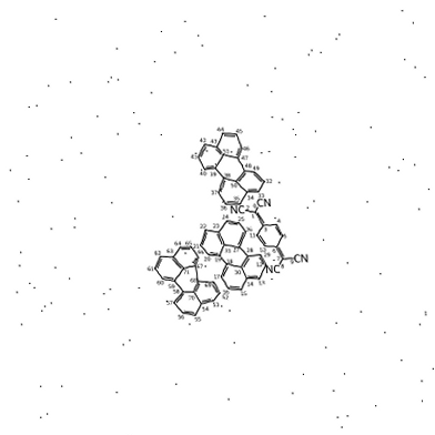 N#CC(C#N)=c1ccc(=C(C#N)C#N)cc1.c1cc2cccc3c4cccc5cccc(c(c1)c23)c54.c1cc2cccc3c4cccc5cccc(c(c1)c23)c54.c1cc2cccc3c4cccc5cccc(c(c1)c23)c54